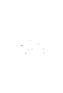 CO[C@H]1CCN(CC2CC2)C[C@H]1C